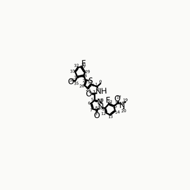 CC(NC(=O)c1ccc(=O)n(-c2cccc(C(=O)N(C)C)c2F)n1)c1ccc(-c2cc(F)ccc2C=O)s1